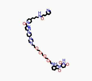 O=C(/C=C/c1cccnc1)NCCCCC1CCN(C(=O)c2ccc(N3CCC(N4CCN(CCCOCCOCCOCCOCCNc5cccc6c5CN(C5CCC(=O)NC5=O)C6=O)CC4)CC3)nn2)CC1